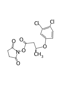 C[C@@H](CC(=O)ON1C(=O)CCC1=O)Oc1ccc(Cl)c(Cl)c1